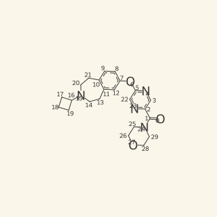 O=C(c1cnc(Oc2ccc3c(c2)CCN(C2CCC2)CC3)cn1)N1CCOCC1